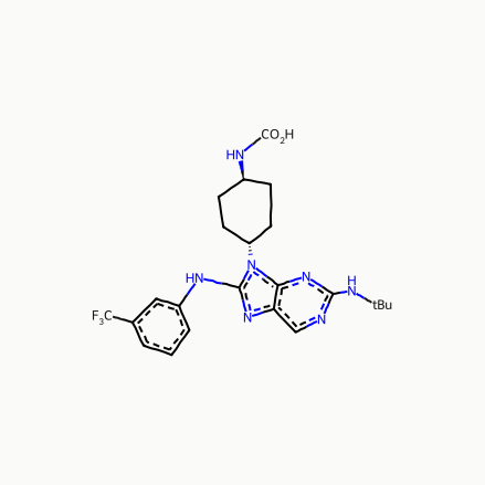 CC(C)(C)Nc1ncc2nc(Nc3cccc(C(F)(F)F)c3)n([C@H]3CC[C@H](NC(=O)O)CC3)c2n1